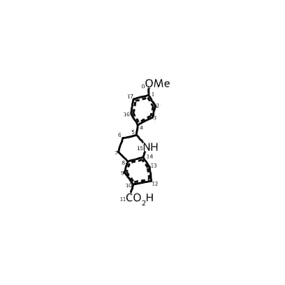 COc1ccc(C2CCc3cc(C(=O)O)ccc3N2)cc1